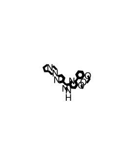 COc1cc2[nH]nc(-c3ccc(N4CCN5CCCC5C4)nc3)c2nc1-c1cccc2c1OCCO2